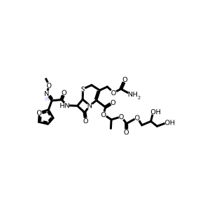 CO/N=C(\C(=O)NC1C(=O)N2C(C(=O)OC(C)OC(=O)OCC(O)CO)=C(COC(N)=O)CSC12)c1ccco1